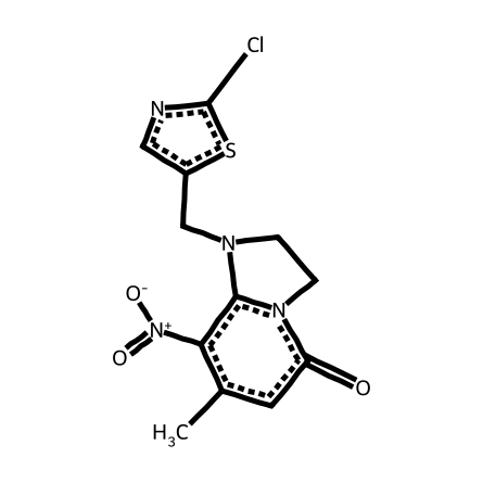 Cc1cc(=O)n2c(c1[N+](=O)[O-])N(Cc1cnc(Cl)s1)CC2